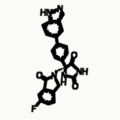 O=C1NC(=O)[C@](CN2Cc3ccc(F)cc3C2=O)(c2ccc(-c3ccc4[nH]ncc4c3)cc2)N1